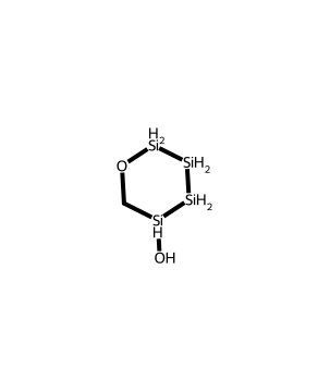 O[SiH]1CO[SiH2][SiH2][SiH2]1